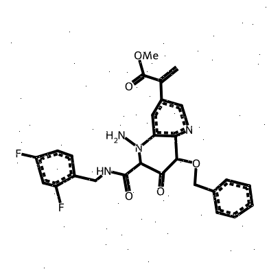 C=C(C(=O)OC)c1cnc2c(c1)N(N)C(C(=O)NCc1ccc(F)cc1F)C(=O)C2OCc1ccccc1